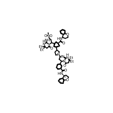 CCC1(CC)CC(=O)N(C(CCN2CCC(c3cc(C(=O)N[C@H]4CCOc5ccccc54)cc(C(CCS(C)(=O)=O)N4C(=N)NC(CC)(CC)CC4=O)c3)C2)c2cccc(C(=O)N[C@H]3CCOc4ccccc43)c2)C(=N)N1